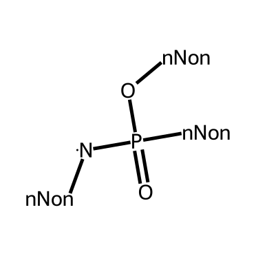 CCCCCCCCC[N]P(=O)(CCCCCCCCC)OCCCCCCCCC